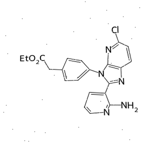 CCOC(=O)Cc1ccc(-n2c(-c3cccnc3N)nc3ccc(Cl)nc32)cc1